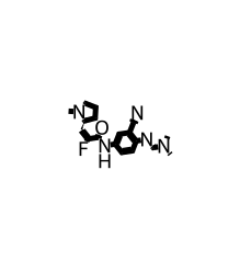 CN(C)/C=N/c1ccc(NC(=O)/C(F)=C\[C@H]2CCCN2C)cc1C#N